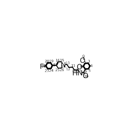 COc1cccc2c1OC(CCCCN1CC=C(c3ccc(F)cc3)CC1)NC2=O